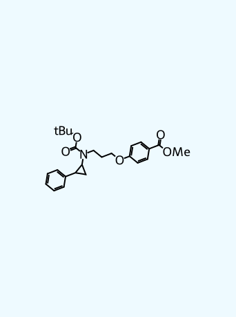 COC(=O)c1ccc(OCCCN(C(=O)OC(C)(C)C)C2CC2c2ccccc2)cc1